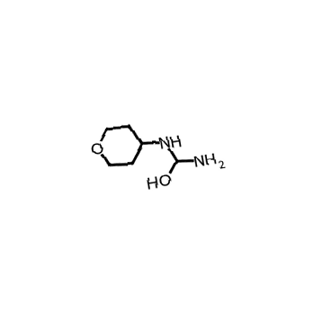 NC(O)NC1CCOCC1